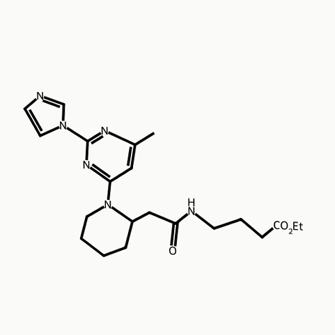 CCOC(=O)CCCNC(=O)CC1CCCCN1c1cc(C)nc(-n2ccnc2)n1